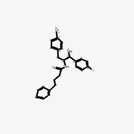 O=C(CCCc1ccccc1)NC(Cc1ccc(C(F)(F)F)cc1)C(O)c1ccc(F)cc1